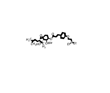 CCN(CC)CCOc1ccc(/C=C/C(=O)O[C@@H]2CCC3(CO3)[C@@H](C(C)(O)CCC=C(C)C)[C@@H]2OC)cc1